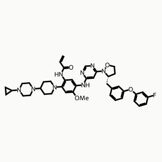 C=CC(=O)Nc1cc(Nc2cc(N3OCC[C@@H]3Cc3cccc(Oc4cccc(F)c4)c3)ncn2)c(OC)cc1N1CCC(N2CCN(C3CC3)CC2)CC1